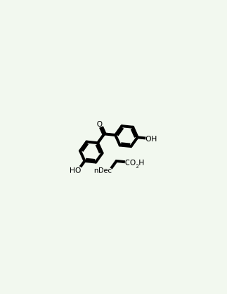 CCCCCCCCCCCC(=O)O.O=C(c1ccc(O)cc1)c1ccc(O)cc1